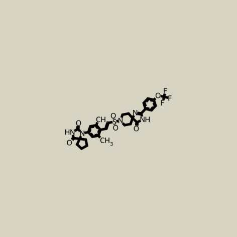 Cc1cc(N2C(=O)NC(=O)C23CCCC3)cc(C)c1/C=C/S(=O)(=O)N1CCC2(CC1)N=C(c1ccc(OC(F)(F)F)cc1)NC2=O